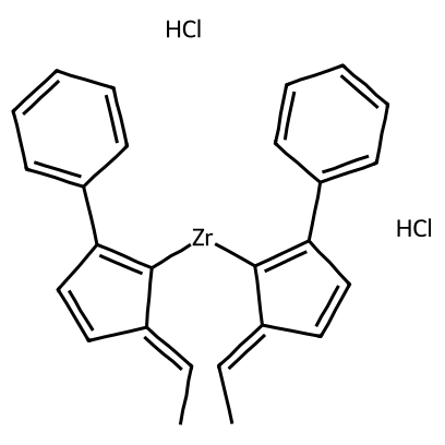 CC=C1C=CC(c2ccccc2)=[C]1[Zr][C]1=C(c2ccccc2)C=CC1=CC.Cl.Cl